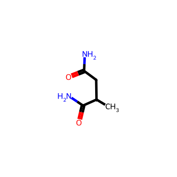 C[C](CC(N)=O)C(N)=O